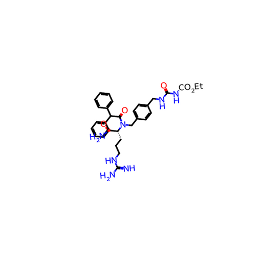 CCOC(=O)NC(=O)NCc1ccc(CN(C(=O)C(c2ccccc2)c2ccccc2)[C@H](CCCNC(=N)N)C(N)=O)cc1